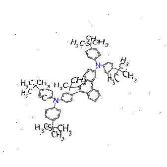 CC(C)(C)c1ccc(N(c2ccc([Si](C)(C)C)cc2)c2ccc3c(c2)C(C)(C)c2c-3c3ccccc3c3cc(N(c4ccc(C(C)(C)C)cc4)c4ccc([Si](C)(C)C)cc4)ccc23)cc1